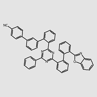 N#Cc1ccc(-c2cccc(-c3ccccc3-c3nc(-c4ccccc4)nc(-c4ccccc4-c4ccccc4-c4nc5ccccc5o4)n3)c2)cc1